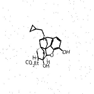 CCOC(=O)[C@H]1C[C@@]23C=C[C@]1(O)[C@@H]1Oc4c(O)ccc5c4C12CCN(CC1CC1)C3C5